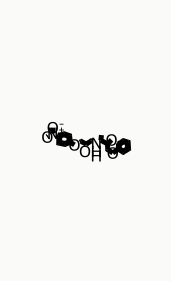 CC(NCC(O)COc1ccc([N+](=O)[O-])cc1)C1COc2ccccc2O1